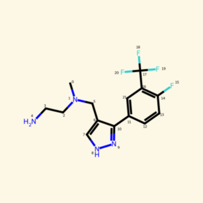 CN(CCN)Cc1c[nH]nc1-c1ccc(F)c(C(F)(F)F)c1